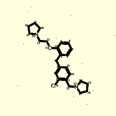 Clc1cc(Cc2[c]cccc2OCCN2CCCC2)ccc1CN1CCCC1